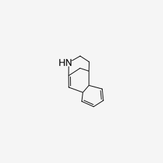 C1=CC2C=C3CC(CCN3)C2C=C1